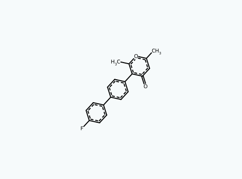 Cc1cc(=O)c(-c2ccc(-c3ccc(F)cc3)cc2)c(C)o1